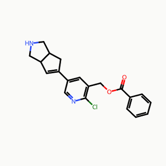 O=C(OCc1cc(C2=CC3CNCC3C2)cnc1Cl)c1ccccc1